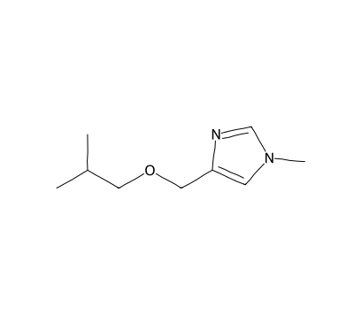 CC(C)COCc1cn(C)cn1